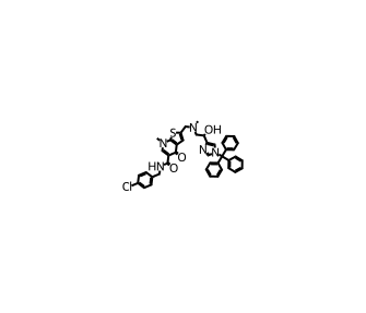 CN(Cc1cc2c(=O)c(C(=O)NCc3ccc(Cl)cc3)cn(C)c2s1)CC(O)c1cn(C(c2ccccc2)(c2ccccc2)c2ccccc2)cn1